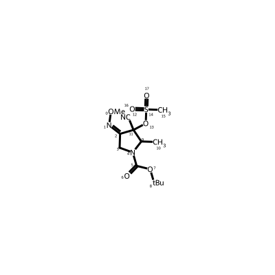 CON=C1CN(C(=O)OC(C)(C)C)C(C)C1(C#N)OS(C)(=O)=O